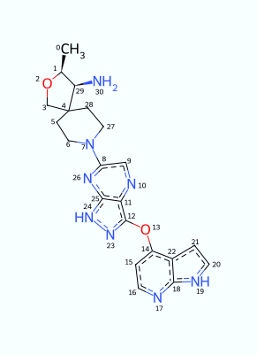 C[C@@H]1OCC2(CCN(c3cnc4c(Oc5ccnc6[nH]ccc56)n[nH]c4n3)CC2)[C@@H]1N